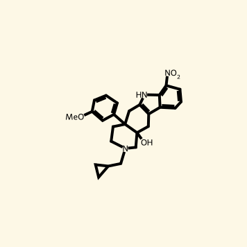 COc1cccc(C23CCN(CC4CC4)CC2(O)Cc2c([nH]c4c([N+](=O)[O-])cccc24)C3)c1